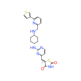 O=C1NC(=O)/C(=C/c2ccnc(N[C@H]3CC[C@H](NCc4cccc(-c5ccsc5)n4)CC3)n2)S1